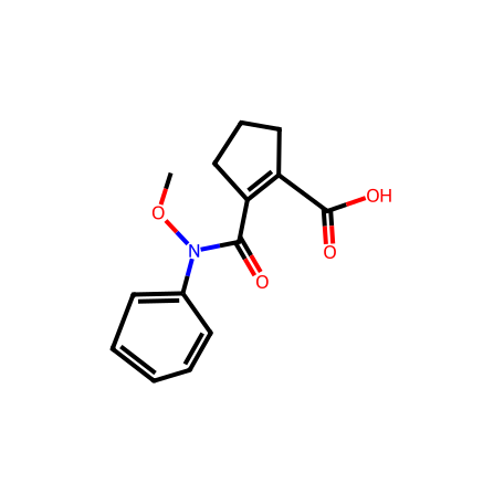 CON(C(=O)C1=C(C(=O)O)CCC1)c1ccccc1